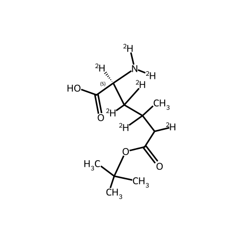 [2H]C(C(=O)OC(C)(C)C)C([2H])(C)C([2H])([2H])[C@@]([2H])(C(=O)O)N([2H])[2H]